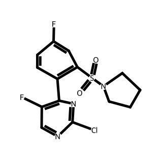 O=S(=O)(c1cc(F)ccc1-c1nc(Cl)ncc1F)N1CCCC1